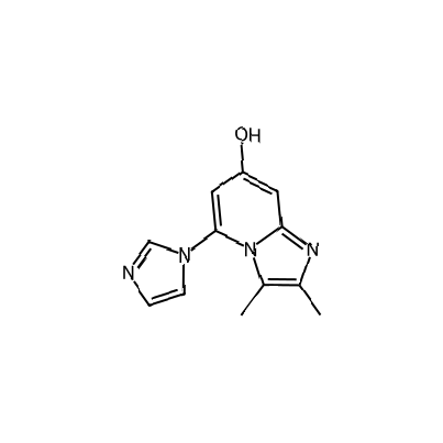 Cc1nc2cc(O)cc(-n3ccnc3)n2c1C